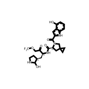 O=C(COC(F)(F)F)[C@H](C[C@@H]1CCNC1O)NC(=O)[C@@H]1CC2(CC2)CN1C(=O)c1cc2c(O)cccc2[nH]1